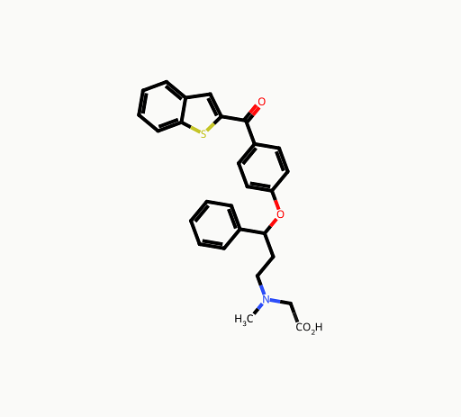 CN(CCC(Oc1ccc(C(=O)c2cc3ccccc3s2)cc1)c1ccccc1)CC(=O)O